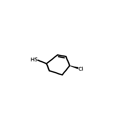 SC1C=C[C@@H](Cl)CC1